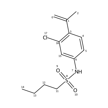 C=C(C)c1ccc(NS(=O)(=O)CCCC)cc1Cl